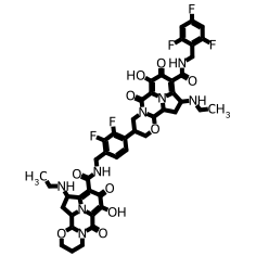 CCNC1CC2C3OCCCN3C(=O)c3c(O)c(=O)c(C(=O)NCc4ccc(C5COC6C7CC(NCC)c8c(C(=O)NCc9c(F)cc(F)cc9F)c(=O)c(O)c(n87)C(=O)N6C5)c(F)c4F)c1n32